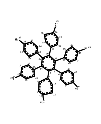 Fc1ccc(-c2c(-c3ccc(F)cc3)c(-c3ccc(F)cc3)c(-c3ccc(Br)cc3)c(-c3ccc(Cl)cc3)c2-c2ccc(F)cc2)cc1